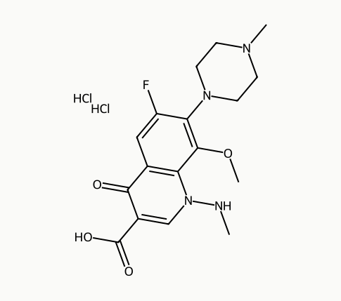 CNn1cc(C(=O)O)c(=O)c2cc(F)c(N3CCN(C)CC3)c(OC)c21.Cl.Cl